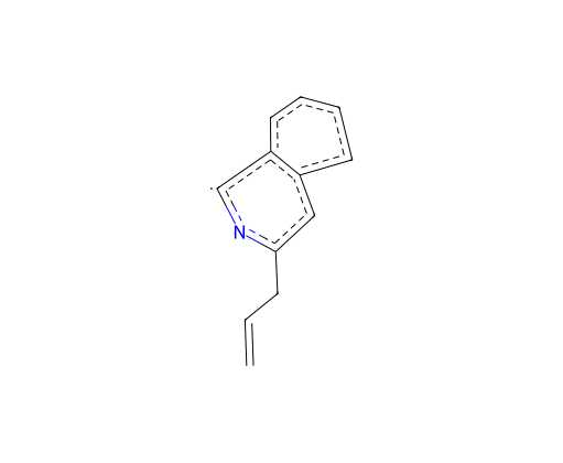 C=CCc1cc2ccccc2[c]n1